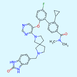 CN(C)C(=O)c1ccc(-c2cc(F)ccc2Oc2cncnc2N2CCC3(CCN(Cc4ccc5[nH]c(=O)[nH]c5c4)C3)C2)c(C2CC2)c1